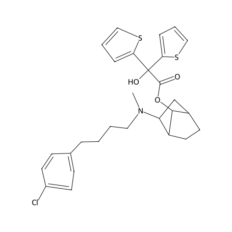 CN(CCCCc1ccc(Cl)cc1)C1CC2CCC1C2OC(=O)C(O)(c1cccs1)c1cccs1